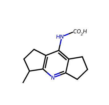 CC1CCc2c1nc1c(c2NC(=O)O)CCC1